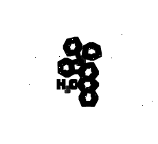 Cc1c2ccccc2cc2ccc3c(c12)-c1ccccc1[Si]3(c1ccccc1)c1ccccc1